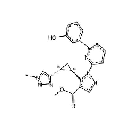 COC(=O)c1cnn(-c2cccc(-c3cccc(O)c3)n2)c1[C@@H]1C[C@H]1c1cn(C)nn1